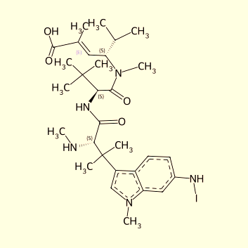 CN[C@H](C(=O)N[C@H](C(=O)N(C)[C@H](/C=C(\C)C(=O)O)C(C)C)C(C)(C)C)C(C)(C)c1cn(C)c2cc(NI)ccc12